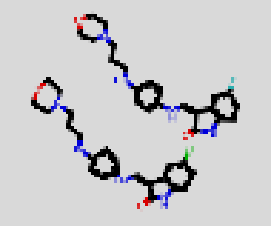 O=C1Nc2ccc(Cl)cc2C1=CNc1ccc(NCCCN2CCOCC2)cc1.O=C1Nc2ccc(F)cc2C1=CNc1ccc(NCCCN2CCOCC2)cc1